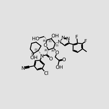 Cc1ccc(-c2cn([C@H]3[C@@H](O)[C@@H](CO)O[C@@H](C(=O)N(c4cc(Cl)cc(C#N)c4)[C@H]4CCCC[C@@H]4O)[C@@H]3OCC(=O)O)nn2)c(F)c1F